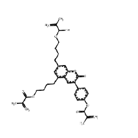 C=C(C)C(=O)OCCCCc1cc(CCCCOC(O)C(=C)C)cc2oc(=O)c(-c3ccc(OC(=O)C(=C)C)cc3)cc12